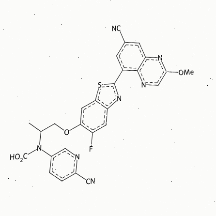 COc1cnc2c(-c3nc4cc(F)c(OCC(C)N(C(=O)O)c5ccc(C#N)nc5)cc4s3)cc(C#N)cc2n1